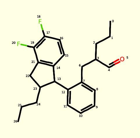 CCCC(C=O)Cc1ccccc1C1c2ccc(F)c(F)c2CC1CCC